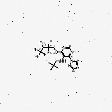 CC(C)(C)CNc1c(OCC(F)(F)C(F)C(F)(F)F)ncnc1-n1cncn1